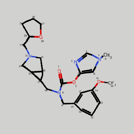 Cn1cnc(OC(=O)N(Cc2cccc(OC(F)(F)F)c2)CC2C3CN(CC4CCCO4)CC32)c1